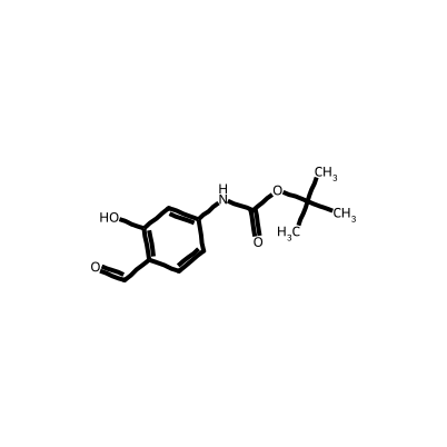 CC(C)(C)OC(=O)Nc1ccc(C=O)c(O)c1